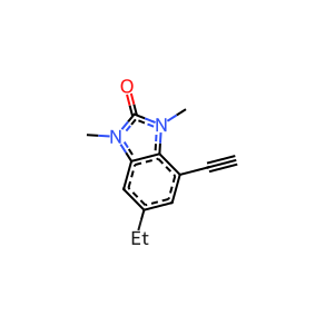 C#Cc1cc(CC)cc2c1n(C)c(=O)n2C